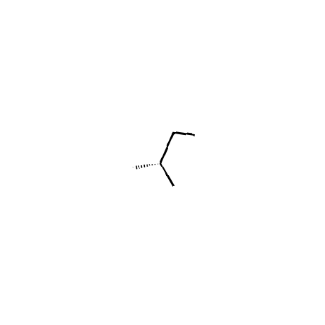 [CH2][C@@H](C)CC